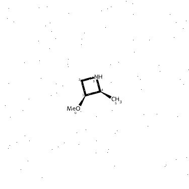 CO[C@H]1CN[C@H]1C